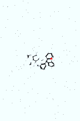 COc1ccccc1C(OC[C@H]1O[C@H](O)[C@@H](OC(C)=O)[C@@H](OC(C)=O)[C@@H]1OC(C)=O)(c1ccccc1)c1ccccc1